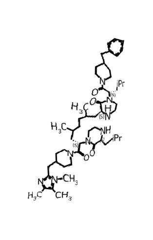 Cc1nc(CC2CCN(C(=O)[C@H](CC(C)CCC(C)C[C@@H]3NCCN([C@@H](CC(C)C)C(=O)N4CCC(Cc5ccccc5)CC4)C3=O)N3CCN[C@@H](CC(C)C)C3=O)CC2)n(C)c1C